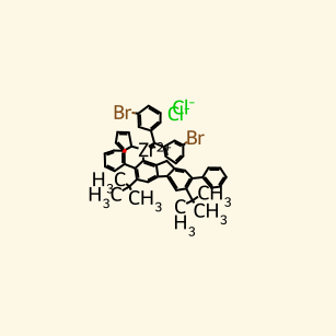 CC(C)(C)c1cc2c(cc1-c1ccccc1)Cc1c-2cc(C(C)(C)C)c(-c2ccccc2)[c]1[Zr+2](=[C](c1cccc(Br)c1)c1cccc(Br)c1)[CH]1C=CC=C1.[Cl-].[Cl-]